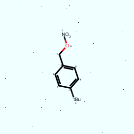 CC(C)(C)c1ccc(CO[N+](=O)[O-])cc1